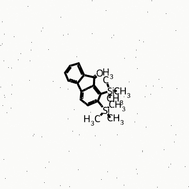 C[Si](C)(C)c1ccc2c(c1[Si](C)(C)C)C(=O)c1ccccc1-2